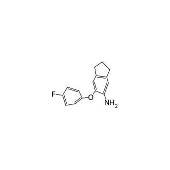 Nc1cc2c(cc1Oc1ccc(F)cc1)CCC2